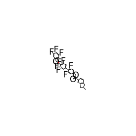 CC1Cc2ccc(C(=O)Oc3cc(F)c(-c4cc(F)c(C(F)(F)Oc5cc(F)c(F)c(F)c5)c(F)c4)c(F)c3)cc2C1